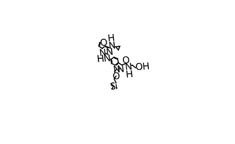 C[Si](C)(C)CCOCn1nc(C(=O)NCCO)c2ccc(Nc3nc(NC4CC4)c4occc4n3)cc21